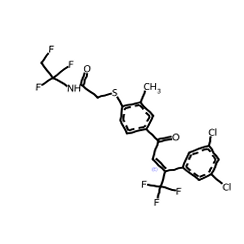 Cc1cc(C(=O)/C=C(\c2cc(Cl)cc(Cl)c2)C(F)(F)F)ccc1SCC(=O)NC(F)(F)CF